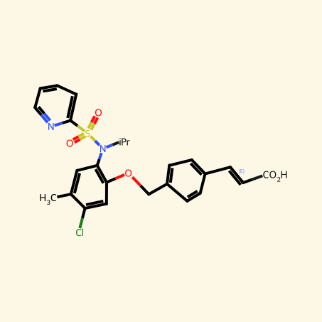 Cc1cc(N(C(C)C)S(=O)(=O)c2ccccn2)c(OCc2ccc(/C=C/C(=O)O)cc2)cc1Cl